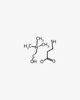 C[N+](C)(C)CCO.O=C([O-])CCS